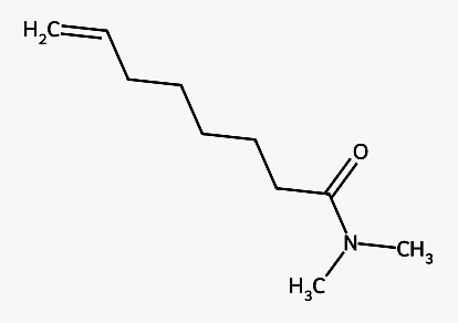 C=CCCCCCC(=O)N(C)C